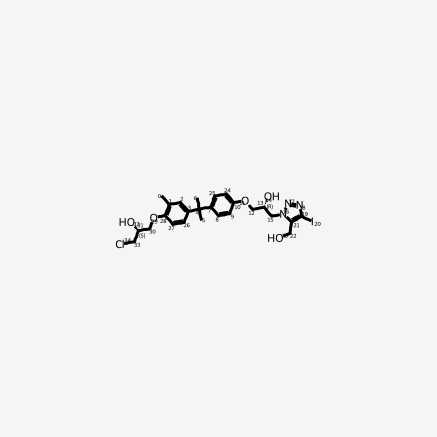 Cc1cc(C(C)(C)c2ccc(OC[C@H](O)Cn3nnc(I)c3CO)cc2)ccc1OC[C@H](O)CCl